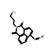 CCCCN1C(=O)c2cccc3c(N=[N+]=[N-])ccc(c23)C1=O